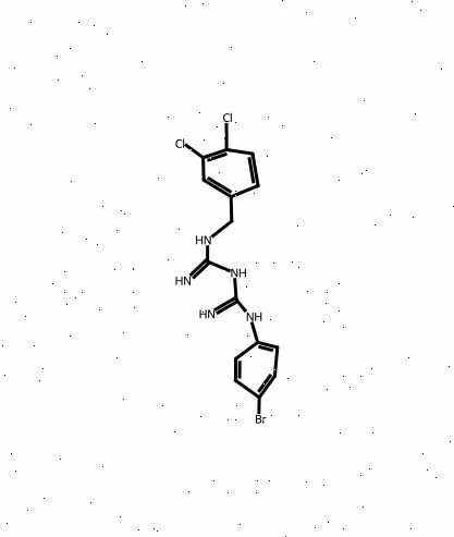 N=C(NCc1ccc(Cl)c(Cl)c1)NC(=N)Nc1ccc(Br)cc1